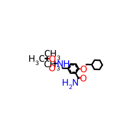 CC(C)(C)OC(=O)NCc1ccc(OCC2CCCCC2)c(C(N)=O)c1